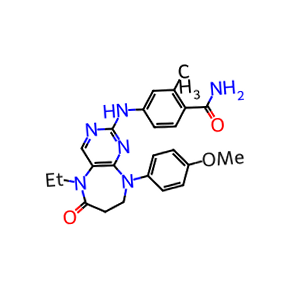 CCN1C(=O)CCN(c2ccc(OC)cc2)c2nc(Nc3ccc(C(N)=O)c(C)c3)ncc21